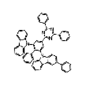 c1ccc(-c2ccc3c(c2)c2ccccc2n3-c2cc(-c3nc(-c4ccccc4)nc(-c4ccccc4)n3)cc(-n3c4ccccc4c4ccccc43)c2-c2ccccc2)cc1